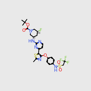 Cc1nc(Oc2ccc(NS(=O)(=O)CC(F)(F)F)cc2)c(-c2ccnc(N[C@H]3C[C@H](F)CN(C(=O)OC(C)(C)C)C3)n2)s1